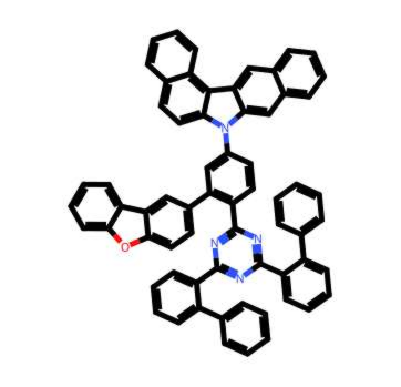 c1ccc(-c2ccccc2-c2nc(-c3ccccc3-c3ccccc3)nc(-c3ccc(-n4c5cc6ccccc6cc5c5c6ccccc6ccc54)cc3-c3ccc4oc5ccccc5c4c3)n2)cc1